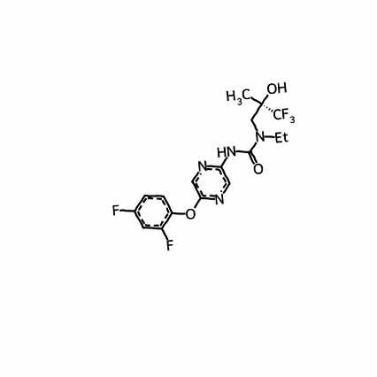 CCN(C[C@@](C)(O)C(F)(F)F)C(=O)Nc1cnc(Oc2ccc(F)cc2F)cn1